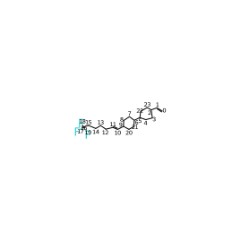 C=CC1CCC(C2CCC(/C=C/CCCCC(F)(F)F)CC2)CC1